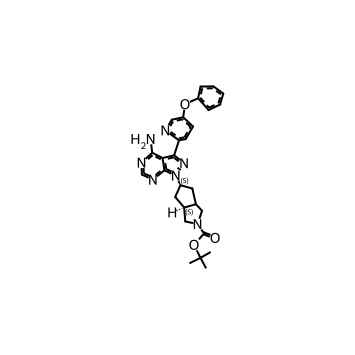 CC(C)(C)OC(=O)N1CC2C[C@H](n3nc(-c4ccc(Oc5ccccc5)cn4)c4c(N)ncnc43)C[C@@H]2C1